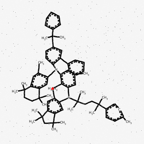 Cc1ccc(C(C)(C)CCC(C)(C)N(c2cc3c(cc2C)C(C)(C)CC3(C)C)c2cc(C)cc(N(c3cc4c(cc3C)C(C)(C)CCC4(C)C)c3ccc(C(C)(C)c4ccccc4)cc3-c3ccccc3)c2C)cc1